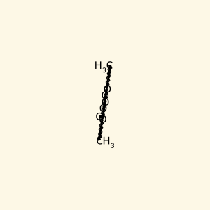 CCCCCCCCCCCOCCOCCOCCOCCCC(=O)OCCCCCCCCCC